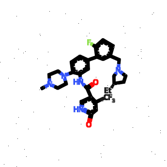 CC[C@@H]1CCN(Cc2ccc(F)c(-c3ccc(N4CCN(C)CC4)c(NC(=O)c4c[nH]c(=O)cc4C(F)(F)F)c3)c2)C1